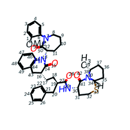 COc1ccccc1N1CCCC[C@H](NC(=O)[C@H](CC[C@H](Cc2ccccc2)C(=O)N[C@H]2CCS[C@H]3CCC[C@@H](C)N3C2=O)Cc2ccccc2)C1=O